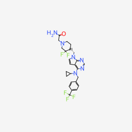 NC(=O)CN1CC[C@H](Cn2ccc3c(N(Cc4ccc(C(F)(F)F)cc4)C4CC4)ncnc32)C(F)(F)C1